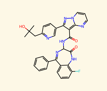 CC(C)(O)Cc1ccc(-c2nn3cccnc3c2C(=O)NC2N=C(c3ccccc3)c3cccc(F)c3NC2=O)cn1